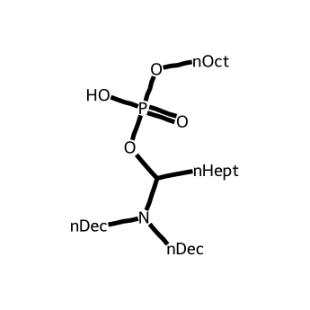 CCCCCCCCCCN(CCCCCCCCCC)C(CCCCCCC)OP(=O)(O)OCCCCCCCC